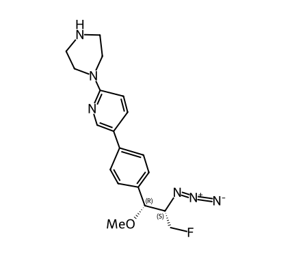 CO[C@H](c1ccc(-c2ccc(N3CCNCC3)nc2)cc1)[C@@H](CF)N=[N+]=[N-]